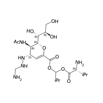 CC(=O)N[C@H]1[C@H]([C@H](O)[C@H](O)CO)OC(C(=O)OC(OC(=O)[C@H](N)C(C)C)C(C)C)=C[C@@H]1NNCN